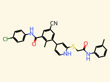 Cc1cccc(NC(=O)CSC2=CC(c3cc(C#N)cc(C(=O)Nc4ccc(Cl)cc4)c3C)C=CN2)c1